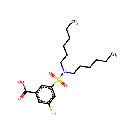 CCCCCCN(CCCCCC)S(=O)(=O)c1cc(S)cc(C(=O)O)c1